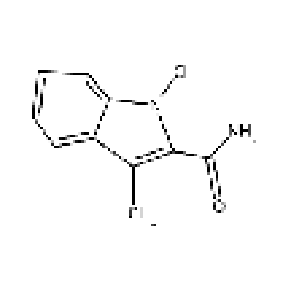 Cc1c(C(N)=O)n(Cl)c2ccccc12